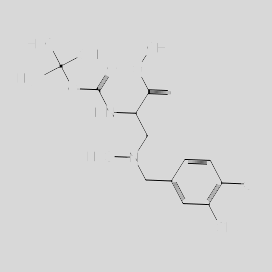 COC(=O)C(CN(C)Cc1ccc(Cl)c(Cl)c1)NC(=O)OC(C)(C)C